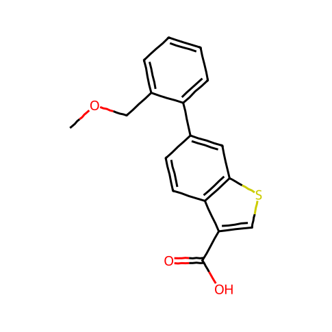 COCc1ccccc1-c1ccc2c(C(=O)O)csc2c1